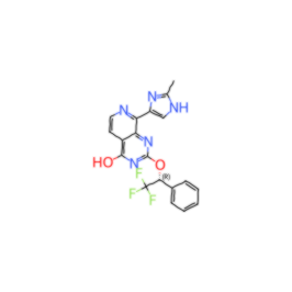 Cc1nc(-c2nccc3c(O)nc(O[C@H](c4ccccc4)C(F)(F)F)nc23)c[nH]1